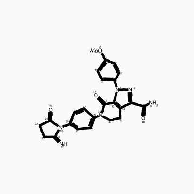 COc1ccc(-n2nc(C(N)=O)c3c2C(=O)N(c2ccc(N4C(=N)CCC4=O)cc2)CC3)cc1